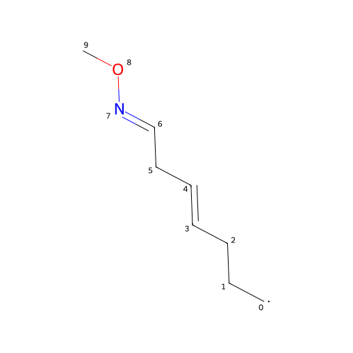 [CH2]CCC=CCC=NOC